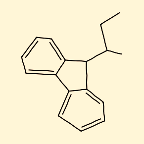 CCC(C)C1c2ccccc2-c2ccccc21